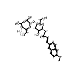 COc1ccc2cc(/C=C/C(=O)C[C@@H]3OC(CO)[C@@H](O[C@@H]4OC(CO)[C@H](O)C(O)CC4O)CC3O)ccc2c1